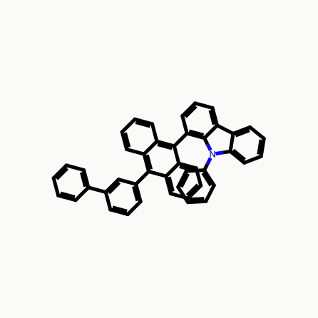 c1ccc(-c2cccc(-c3c4ccccc4c(-c4cccc5c6ccccc6n(-c6ccccc6)c45)c4ccccc34)c2)cc1